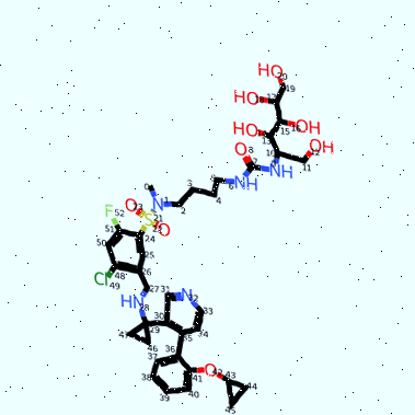 CN(CCCCNC(=O)NC(CO)C(O)C(O)C(O)CO)S(=O)(=O)c1cc(CNC2(c3cnccc3-c3ccccc3OC3CC3)CC2)c(Cl)cc1F